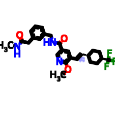 CNC(=O)Cc1cccc(CNC(=O)c2cnc(OC)c(/C=C/[C@H]3CC[C@H](C(F)(F)F)CC3)c2)c1